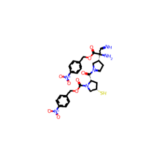 N=CC(N)(C(=O)OCc1ccc([N+](=O)[O-])cc1)[C@@H]1CCN(C(=O)[C@@H]2C[C@H](S)CN2C(=O)OCc2ccc([N+](=O)[O-])cc2)C1